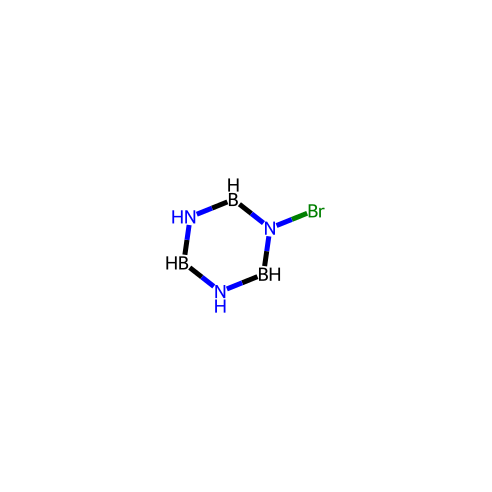 BrN1BNBNB1